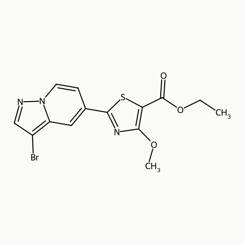 CCOC(=O)c1sc(-c2ccn3ncc(Br)c3c2)nc1OC